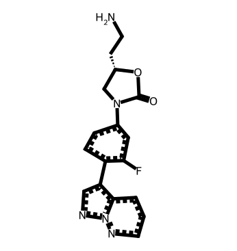 NCC[C@H]1CN(c2ccc(-c3cnn4ncccc34)c(F)c2)C(=O)O1